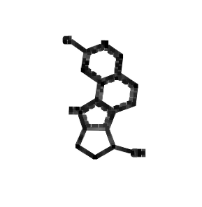 OC1CCc2[nH]c3c(ccc4cnc(Cl)cc43)c21